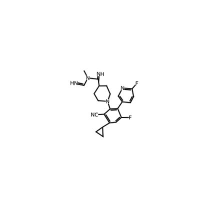 CN(C=N)C(=N)C1CCN(c2c(C#N)c(C3CC3)cc(F)c2-c2ccc(F)nc2)CC1